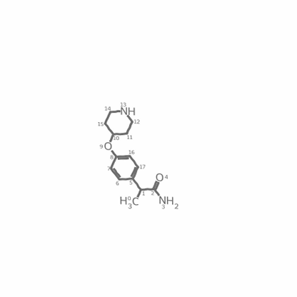 CC(C(N)=O)c1ccc(OC2CCNCC2)cc1